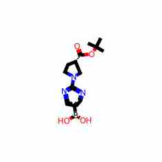 CC(C)(C)OC(=O)[C@H]1CCN(c2ncc(B(O)O)cn2)C1